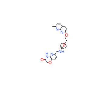 Cc1ccc2ccc(OCCC34CCC(NCc5ccc6c(n5)NC(=O)CO6)(CC3)CO4)nc2n1